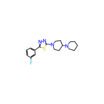 Fc1cccc(-c2nnc(N3CCC(N4CCCCC4)CC3)s2)c1